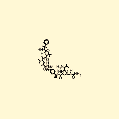 CN[C@H](C(=O)N[C@H](C(=O)N(C)[C@H](C=C(C)C(=O)NS(=O)(=O)c1ccc(C2(NC(=O)[C@H](CCCNC(N)=O)NC(=O)[C@@H](N)C(C)C)CC2)cc1)C(C)C)C(C)(C)C)C(C)(C)c1ccccc1